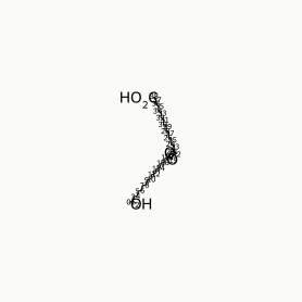 CC(O)CCCCCCCCCCCCCCCC(=O)OC(C)CCCCCCCCCCCCCCCC(=O)O